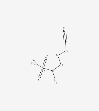 N#CCCCC(F)S(=O)(=O)O